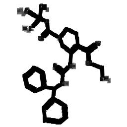 CCOC(=O)C1=C(NC(=S)NC(c2ccccc2)c2ccccc2)CN(C(=O)OC(C)(C)C)CC1